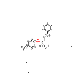 O=C(O)C(CC[Se]c1ccccc1)Oc1ccc(C(F)(F)F)cc1